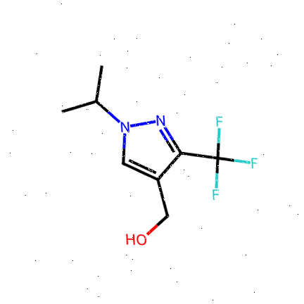 CC(C)n1cc(CO)c(C(F)(F)F)n1